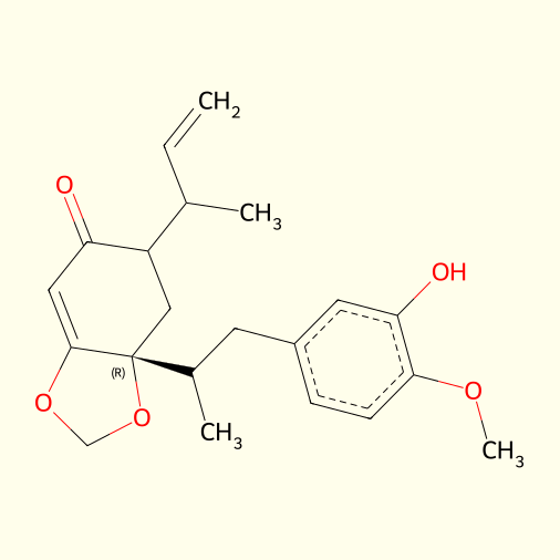 C=CC(C)C1C[C@]2(C(C)Cc3ccc(OC)c(O)c3)OCOC2=CC1=O